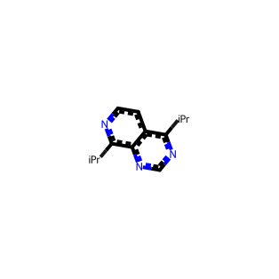 CC(C)c1ncnc2c(C(C)C)nccc12